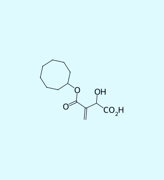 C=C(C(=O)OC1CCCCCCC1)C(O)C(=O)O